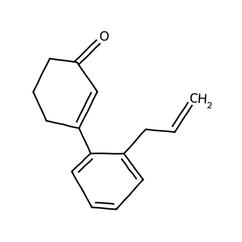 C=CCc1ccccc1C1=CC(=O)CCC1